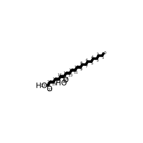 CCCCCCCCCC=CC=CC=CC(=CC=CC=CC(=O)O)OO